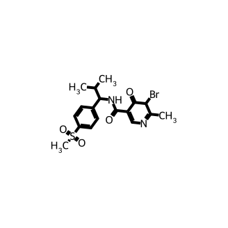 CC1=NC=C(C(=O)NC(c2ccc(S(C)(=O)=O)cc2)C(C)C)C(=O)C1Br